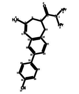 CCCN(CCC)C(=O)C1CC(N)=Nc2cc(-c3ccc(C#N)cc3)ccc2C1